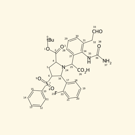 CC(C)(C)OC(=O)C1CC(S(=O)(=O)c2ccccc2)C(c2ccccc2F)N1C(C(=O)O)c1cccc(CC=O)c1NC(N)=O